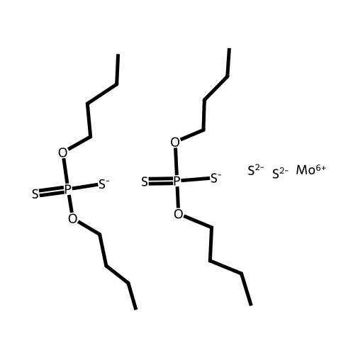 CCCCOP(=S)([S-])OCCCC.CCCCOP(=S)([S-])OCCCC.[Mo+6].[S-2].[S-2]